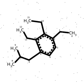 CCc1ccc(CC(C)C)c(CC)c1CC